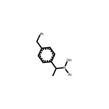 CC(=O)N(O)C(C)c1ccc(CC(C)C)cc1